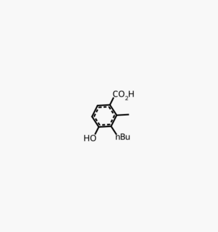 CCCCc1c(O)ccc(C(=O)O)c1C